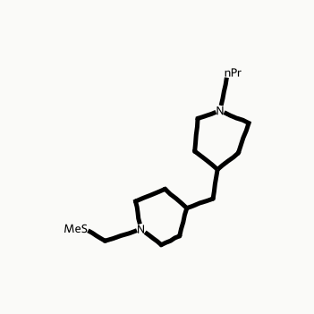 CCCN1CCC(CC2CCN(CSC)CC2)CC1